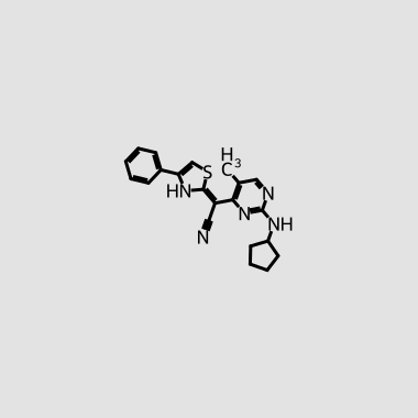 Cc1cnc(NC2CCCC2)nc1C(C#N)=C1NC(c2ccccc2)=CS1